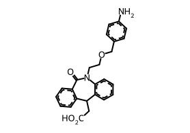 Nc1ccc(COCCN2C(=O)c3ccccc3C(CC(=O)O)c3ccccc32)cc1